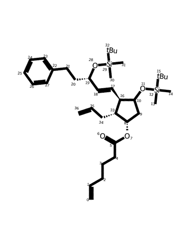 C=CCCCC(=O)O[C@H]1CC(O[Si](C)(C)C(C)(C)C)[C@H](/C=C/[C@H](CCc2ccccc2)O[Si](C)(C)C(C)(C)C)[C@H]1CC=C